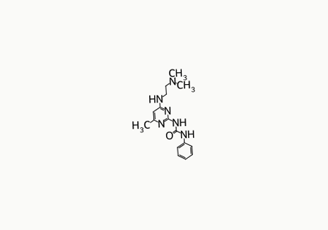 Cc1cc(NCCN(C)C)nc(NC(=O)Nc2ccccc2)n1